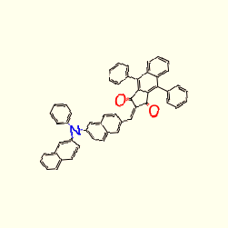 O=C1C(=Cc2ccc3cc(N(c4ccccc4)c4ccc5ccccc5c4)ccc3c2)C(=O)c2c1c(-c1ccccc1)c1ccccc1c2-c1ccccc1